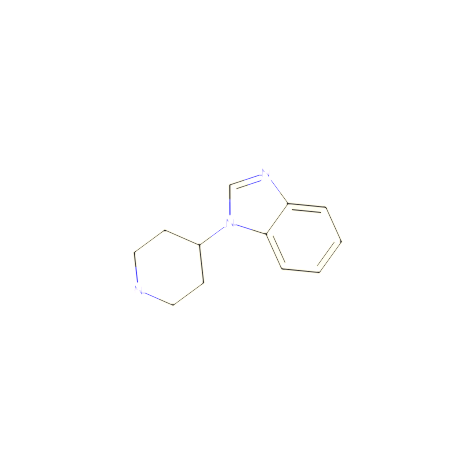 c1ccc2c(c1)ncn2C1CC[N]CC1